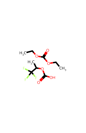 CC(OC(=O)O)C(F)(F)F.CCOC(=O)OCC